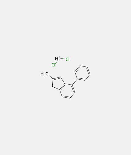 CC1=Cc2c(cccc2-c2ccccc2)C1.[Cl][Hf][Cl]